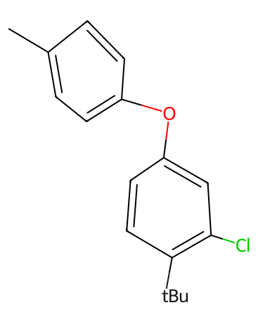 Cc1ccc(Oc2ccc(C(C)(C)C)c(Cl)c2)cc1